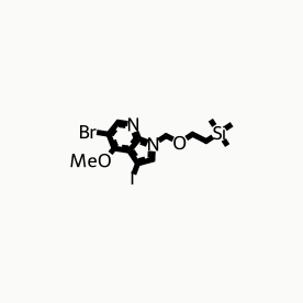 COc1c(Br)cnc2c1c(I)cn2COCC[Si](C)(C)C